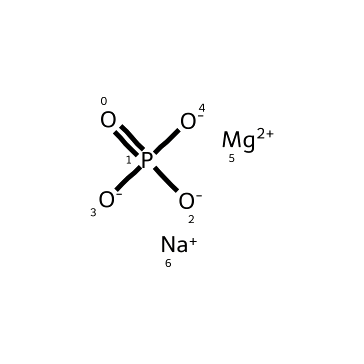 O=P([O-])([O-])[O-].[Mg+2].[Na+]